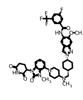 COc1cc2nn([C@H]3CC[C@H](CN(C)C4CCN(c5cccc6c5n(C)c(=O)n6C5CCC(=O)NC5=O)CC4)CC3)cc2cc1NC(=O)c1cc(F)cc(C(F)(F)F)c1